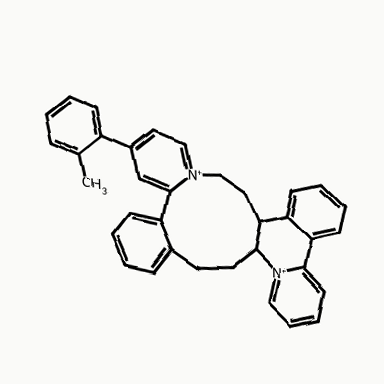 Cc1ccccc1-c1cc[n+]2c(c1)-c1ccccc1CCC1C(CC2)c2ccccc2-c2cccc[n+]21